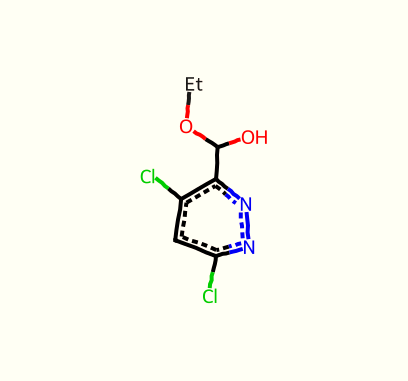 CCOC(O)c1nnc(Cl)cc1Cl